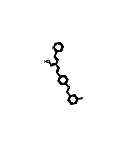 ON=C(C=Cc1ccc(OCc2cccc(F)c2)cc1)C=Cc1ccccn1